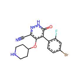 N#Cc1n[nH]c(=O)c(-c2ccc(Br)cc2F)c1OC1CCNCC1